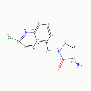 N[C@H]1CCN(Cc2cccc3nc(Cl)ccc23)C1=O